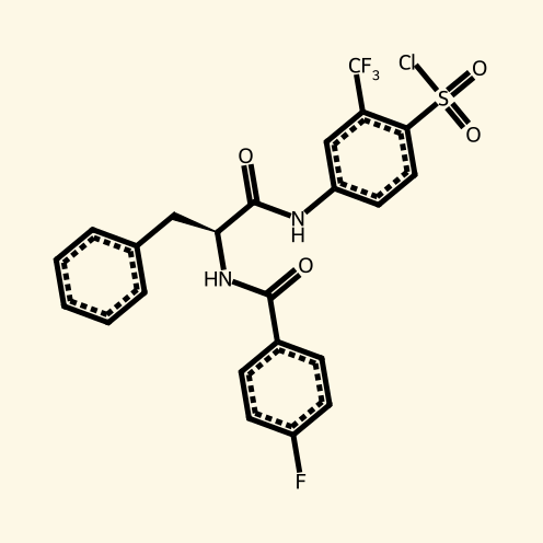 O=C(N[C@@H](Cc1ccccc1)C(=O)Nc1ccc(S(=O)(=O)Cl)c(C(F)(F)F)c1)c1ccc(F)cc1